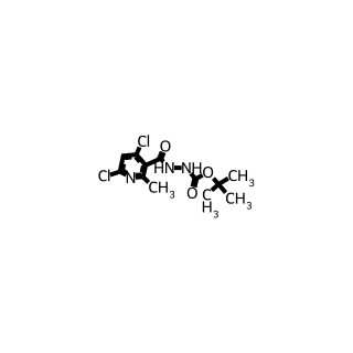 Cc1nc(Cl)cc(Cl)c1C(=O)NNC(=O)OC(C)(C)C